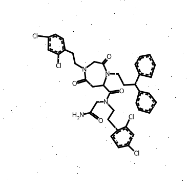 NC(=O)CN(CCc1ccc(Cl)cc1Cl)C(=O)C1CC(=O)N(CCc2ccc(Cl)cc2Cl)CC(=O)N1CCC(c1ccccc1)c1ccccc1